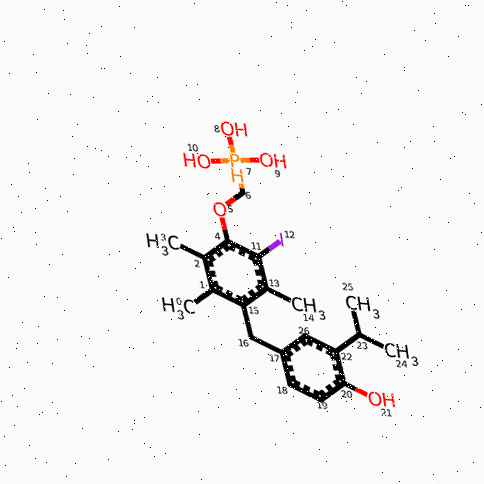 Cc1c(C)c(OC[PH](O)(O)O)c(I)c(C)c1Cc1ccc(O)c(C(C)C)c1